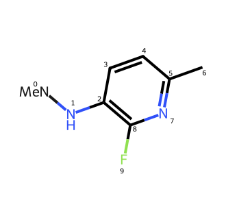 CNNc1ccc(C)nc1F